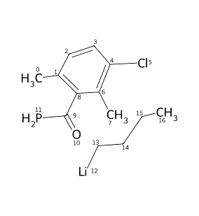 Cc1ccc(Cl)c(C)c1C(=O)P.[Li][CH2]CCC